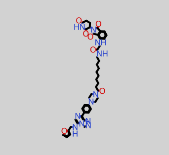 O=C(CNc1cccc2c1C(=O)N(C1CCC(=O)NC1=O)C2=O)NCCCCCCCCCC(=O)N1CCN(c2ccc(-c3ncc(NCc4ccco4)n4cnnc34)cc2)CC1